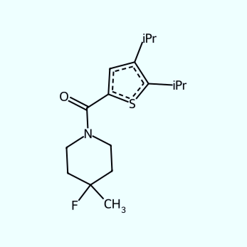 CC(C)c1cc(C(=O)N2CCC(C)(F)CC2)sc1C(C)C